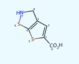 O=C(O)c1cc2c(s1)SNC2